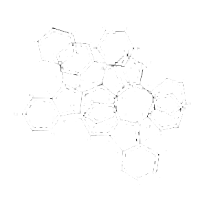 c1ccc(-c2nnc(-c3ccccc3)n2-c2cccc3c4ccccc4n(-c4ccccc4-n4c5ccccc5c5c4ccc4c6ccccc6n(-c6ccccc6)c45)c23)cc1